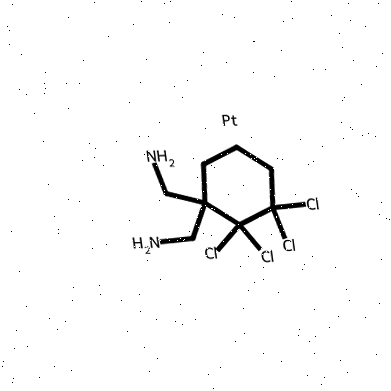 NCC1(CN)CCCC(Cl)(Cl)C1(Cl)Cl.[Pt]